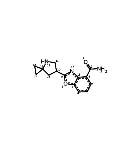 NC(=O)c1cccc2oc(C3CNC4(CC4)C3)nc12